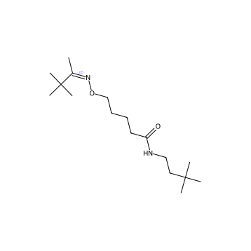 C/C(=N/OCCCCC(=O)NCCC(C)(C)C)C(C)(C)C